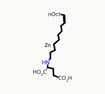 CCCCCCCC/C=C\CCCCCCCCN[C@H](CCC(=O)O)C(=O)O.[Zn]